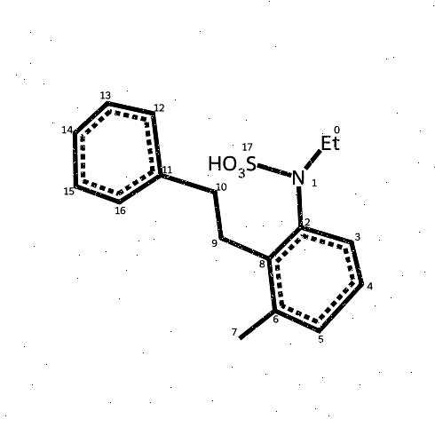 CCN(c1cccc(C)c1CCc1ccccc1)S(=O)(=O)O